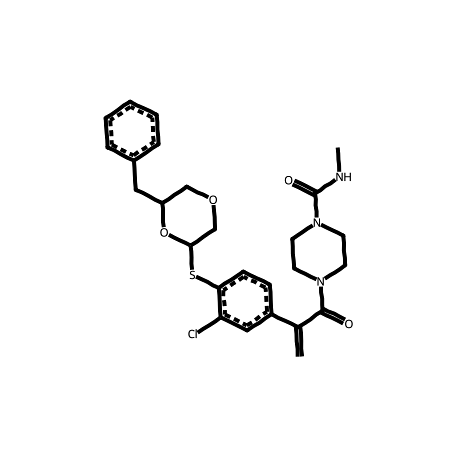 C=C(C(=O)N1CCN(C(=O)NC)CC1)c1ccc(SC2COCC(Cc3ccccc3)O2)c(Cl)c1